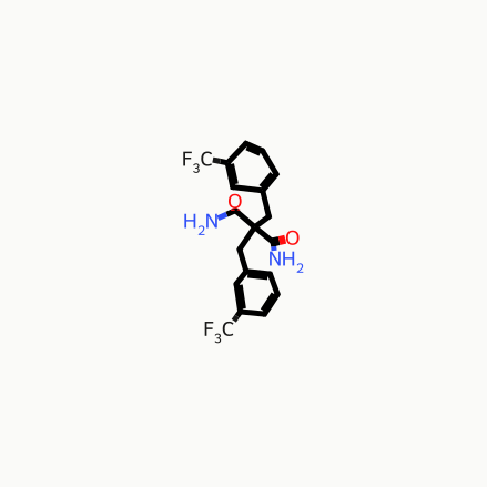 NC(=O)C(Cc1cccc(C(F)(F)F)c1)(Cc1cccc(C(F)(F)F)c1)C(N)=O